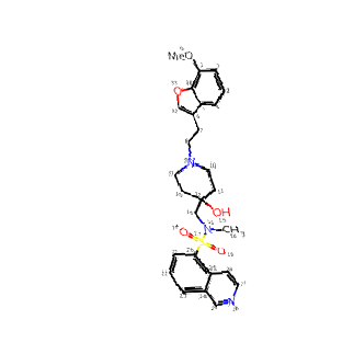 COc1cccc2c(CCN3CCC(O)(CN(C)S(=O)(=O)c4cccc5cnccc45)CC3)coc12